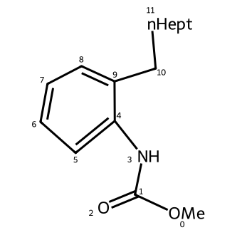 [CH2]OC(=O)Nc1ccccc1CCCCCCCC